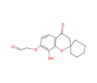 O=CCOc1ccc2c(c1O)OC1(CCCCC1)CC2=O